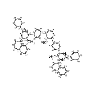 Cc1c(-c2ccc(-c3cccc(-c4ccc(-c5nc(-c6ccccc6)nc(-c6cccc7ccccc67)c5C)cc4)c3C#N)cc2)nc(-c2ccccc2)nc1-c1cccc2ccccc12